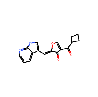 O=C1C(C(=O)C2CCC2)=CO/C1=C\c1c[nH]c2ncccc12